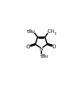 CC1=C(C(C)(C)C)C(=O)N(C(C)(C)C)C1=O